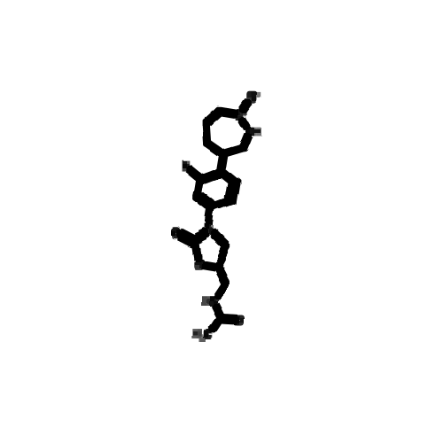 CC(=O)NCC1CN(c2ccc(C3CCC[S+]([O-])NC3)c(F)c2)C(=O)O1